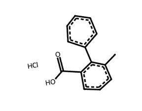 Cc1cccc(C(=O)O)c1-c1ccccc1.Cl